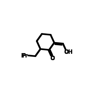 CC(C)CC1CCCC(=CO)C1=O